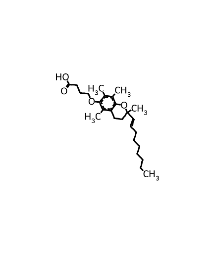 CCCCCCCC=CC1(C)CCc2c(C)c(OCCCC(=O)O)c(C)c(C)c2O1